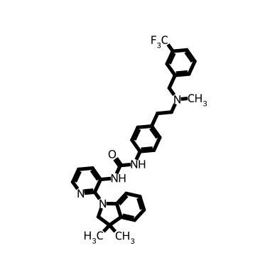 CN(CCc1ccc(NC(=O)Nc2cccnc2N2CC(C)(C)c3ccccc32)cc1)Cc1cccc(C(F)(F)F)c1